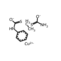 CC.NC([O-])=S.[Cu+2].[O-]C(=S)Nc1ccccc1